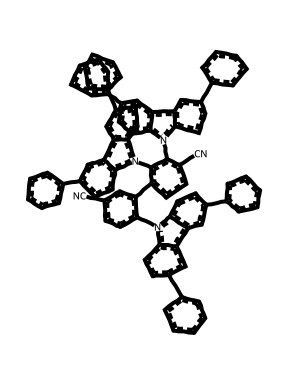 N#Cc1ccc(-n2c3ccc(-c4ccccc4)cc3c3cc(-c4ccccc4)ccc32)c(-c2ccc(C#N)c(-n3c4ccc(-c5ccccc5)cc4c4cc(-c5ccccc5)ccc43)c2-n2c3ccc(-c4ccccc4)cc3c3cc(-c4ccccc4)ccc32)c1